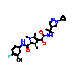 Cc1c(C(=O)C(=O)NC(C)(C)c2cnn(C3CC3)c2)c(C)n(C)c1C(=O)Nc1ccc(F)c(C#N)c1